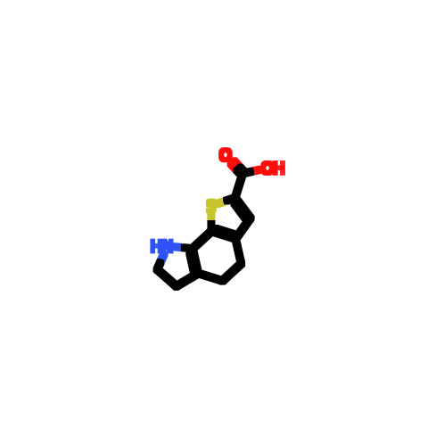 O=C(O)c1cc2c(s1)C1=C(CCN1)CC2